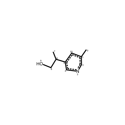 Cc1cncc(C(C)CO)c1